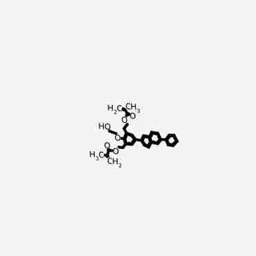 C=C(C)C(=O)OCCc1cc(-c2ccc3cc(-c4ccccc4)ccc3c2)cc(CCOC(=O)C(=C)C)c1OCCO